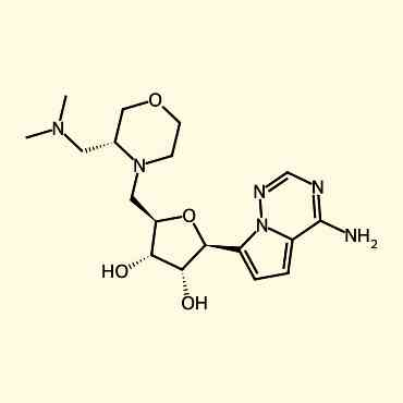 CN(C)C[C@@H]1COCCN1C[C@H]1O[C@@H](c2ccc3c(N)ncnn23)[C@H](O)[C@@H]1O